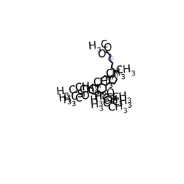 CC[C@H]1C(O[Si](C)(C)C(C)(C)C)C2C3CC[C@H]([C@H](C)CC/C=C/C(=O)OC)[C@@]3(C)CCC2[C@@]2(C)CCC(O[Si](C)(C)C(C)(C)C)C[C@@H]12